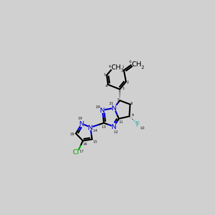 C=C/C=C(\C=C/C)[C@@H]1C[C@H](F)c2nc(-n3cc(Cl)cn3)nn21